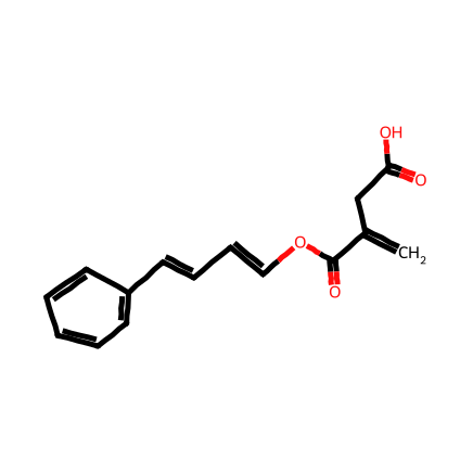 C=C(CC(=O)O)C(=O)OC=CC=Cc1ccccc1